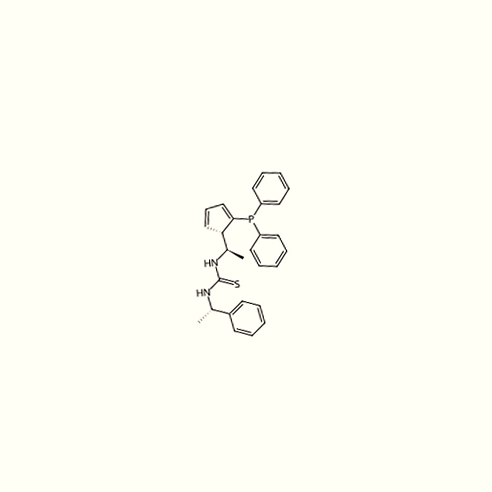 C[C@H](NC(=S)N[C@H](C)[C@@H]1C=CC=C1P(c1ccccc1)c1ccccc1)c1ccccc1